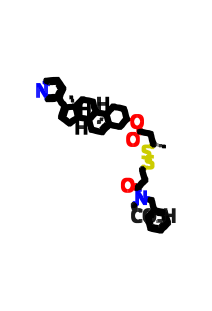 C[C@@H](CC(=O)O[C@H]1CC[C@@]2(C)C(=CC[C@@H]3[C@@H]2CC[C@]2(C)C(c4cccnc4)=CC[C@@H]32)C1)SSCCC(=O)N(CC(=O)O)Cc1ccccc1